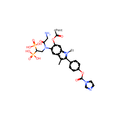 CCCCCC(=O)Oc1cc2c(cc1N(CC(P(=O)(O)O)P(=O)(O)O)C(=O)CN)c(C)c(-c1ccc(OC(=O)n3ccnc3)cc1)n2CC